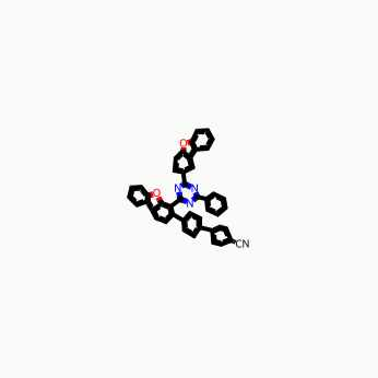 N#Cc1ccc(-c2ccc(-c3ccc4c(oc5ccccc54)c3-c3nc(-c4ccccc4)nc(-c4ccc5oc6ccccc6c5c4)n3)cc2)cc1